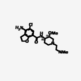 CNCCN1CC[C@@H](NC(=O)c2cc(Cl)c(N)c3c2OCC3)[C@@H](OC)C1